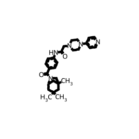 CC1(C)CC2CC(C)(CN2C(=O)c2ccc(NC(=O)CN3CCN(c4ccncc4)CC3)cc2)C1